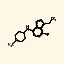 CN1CCC(Nc2ccc(F)c3c2ccn3CC(F)(F)F)CC1